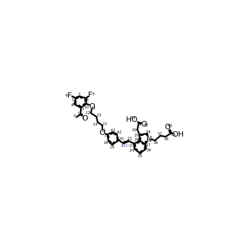 CC(=O)c1cc(F)cc(F)c1OCCCCOc1ccc(/C=C/c2cccc3c2c(CC(=O)O)cn3CCCC(=O)O)cc1